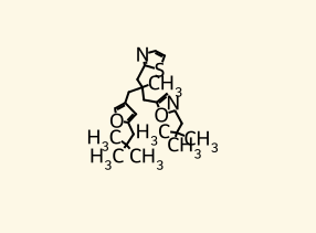 CC(C)(C)Cc1cc(CC(C)(Cc2cnc(CC(C)(C)C)o2)Cc2nccs2)co1